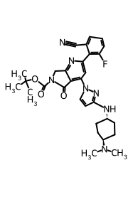 CN(C)[C@H]1CC[C@H](Nc2ccn(-c3cc(-c4c(F)cccc4C#N)nc4c3C(=O)N(C(=O)OC(C)(C)C)C4)n2)CC1